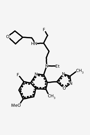 CCN(CCC(CF)NCC1COC1)c1nc2c(F)cc(OC)cc2c(C)c1-c1nc(C)no1